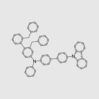 c1ccc(Cc2ccccc2-c2ccc(N(c3ccccc3)c3ccc(-c4ccc(-n5c6ccccc6c6ccccc65)cc4)cc3)cc2Cc2ccccc2)cc1